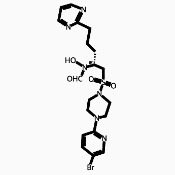 O=CN(O)[C@H](CCCc1ncccn1)CS(=O)(=O)N1CCN(c2ccc(Br)cn2)CC1